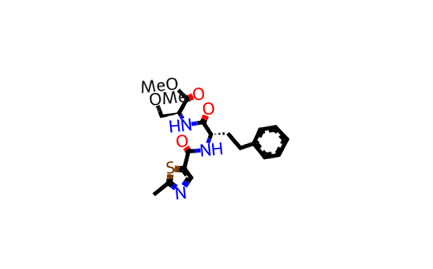 COC[C@H](NC(=O)[C@H](CCc1ccccc1)NC(=O)c1cnc(C)s1)C(=O)OC